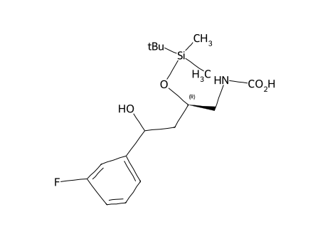 CC(C)(C)[Si](C)(C)O[C@@H](CNC(=O)O)CC(O)c1cccc(F)c1